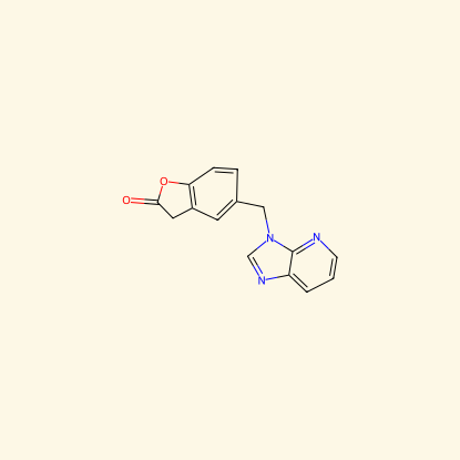 O=C1Cc2cc(Cn3cnc4cccnc43)ccc2O1